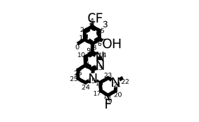 Cc1cc(C(F)(F)F)cc(O)c1-c1cc2c(nn1)N([C@@H]1C[C@@H](F)CN(C)C1)CCC2